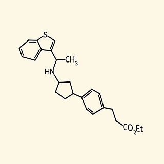 CCOC(=O)CCc1ccc(C2CCC(NC(C)c3csc4ccccc34)C2)cc1